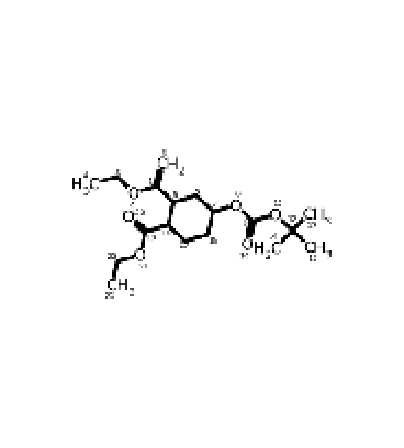 C=C(OCC)C1CC(OC(=O)OC(C)(C)C)CCC1C(=O)OCC